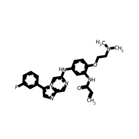 C=CC(=O)Nc1cc(Nc2cn3c(-c4cccc(F)c4)cnc3cn2)ccc1OCCN(C)C